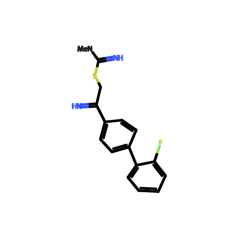 CNC(=N)SCC(=N)c1ccc(-c2ccccc2F)cc1